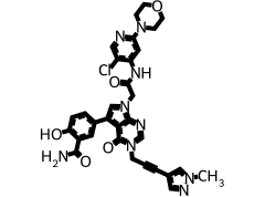 Cn1cc(C#CCn2cnc3c(c(-c4ccc(O)c(C(N)=O)c4)cn3CC(=O)Nc3cc(N4CCOCC4)ncc3Cl)c2=O)cn1